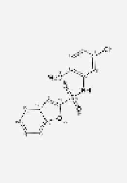 COc1ccc(Cl)cc1NS(=O)(=O)c1cc2ccccc2o1